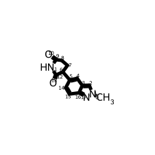 Cn1cc2cc(C3CCC(=O)NC3=O)ccc2n1